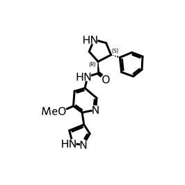 COc1cc(NC(=O)[C@H]2CNC[C@@H]2c2ccccc2)cnc1-c1cn[nH]c1